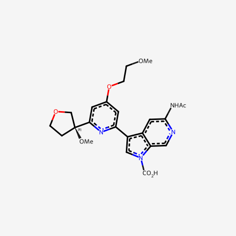 COCCOc1cc(-c2cn(C(=O)O)c3cnc(NC(C)=O)cc23)nc([C@]2(OC)CCOC2)c1